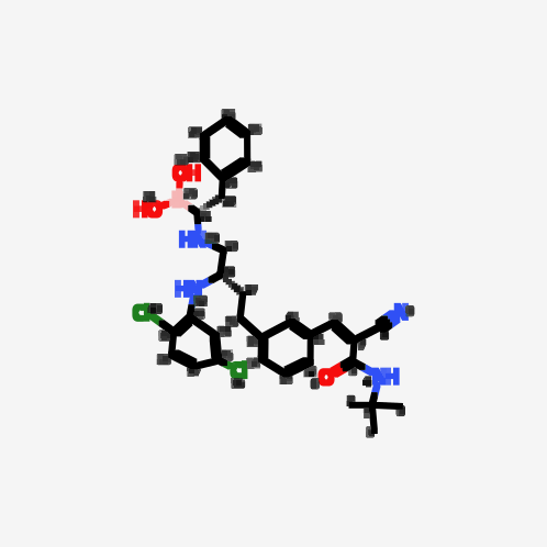 CC(C)(C)NC(=O)C(C#N)=Cc1cccc(CC[C@@H](CN[C@@H](Cc2ccccc2)B(O)O)Nc2cc(Cl)ccc2Cl)c1